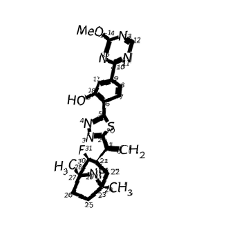 C=C(c1nnc(-c2ccc(-c3ncnc(OC)n3)cc2O)s1)[C@H]1C[C@]2(C)CC[C@@](C)(N2)[C@H]1F